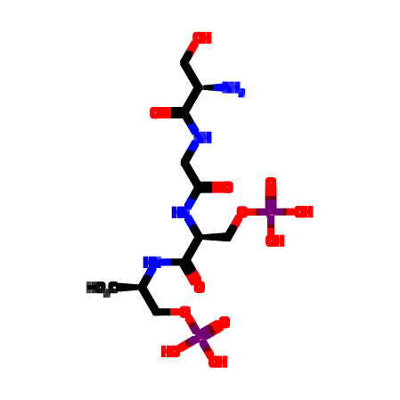 N[C@@H](CO)C(=O)NCC(=O)N[C@@H](COP(=O)(O)O)C(=O)N[C@@H](COP(=O)(O)O)C(=O)O